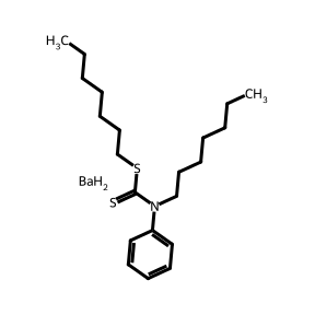 CCCCCCCSC(=S)N(CCCCCCC)c1ccccc1.[BaH2]